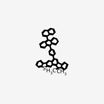 CC1(C)c2ccccc2-c2cc(-c3ccc(-c4c5c(c(-c6cccc7ccccc67)c6ccccc46)=CCCC=5)cc3)c3cc4c(cc3c21)sc1ccccc14